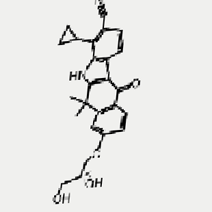 CC1(C)c2cc(OC[C@H](O)CO)ccc2C(=O)c2c1[nH]c1c(C3CC3)c(C#N)ccc21